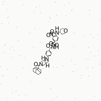 O=C(NS(=O)(=O)c1ccc(NC2CCOCC2)c([N+](=O)[O-])c1)c1ccc(N2C[C@H]3CN(C(=O)C45CC6CC(CC(C6)C4)C5)C[C@H]32)cc1